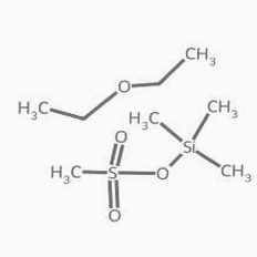 CCOCC.C[Si](C)(C)OS(C)(=O)=O